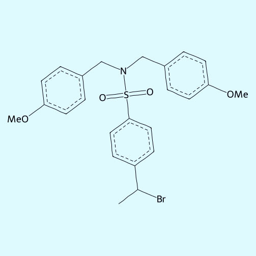 COc1ccc(CN(Cc2ccc(OC)cc2)S(=O)(=O)c2ccc(C(C)Br)cc2)cc1